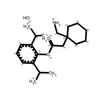 CC(C)c1cccc(C(C)C)c1OC(=O)CC1(CN)CCCCC1.Cl